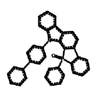 O=P1(c2ccccc2)c2ccccc2-c2ccc3c4ccccc4n(-c4ccc(-c5ccccc5)cc4)c3c21